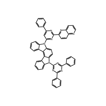 c1ccc(-c2cc(-n3c4ccccc4c4c5c6ccccc6n(-c6nc(-c7ccccc7)nc(-c7ccccc7)n6)c5ccc43)nc(-c3ccc4ncccc4n3)n2)cc1